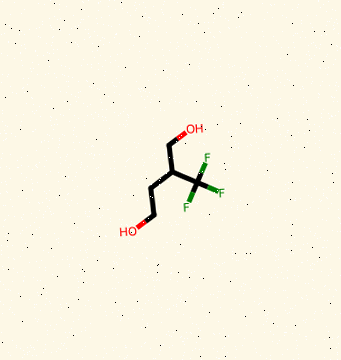 OCCC(CO)C(F)(F)F